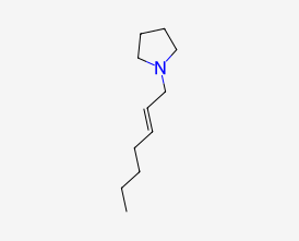 CCCCC=CCN1CCCC1